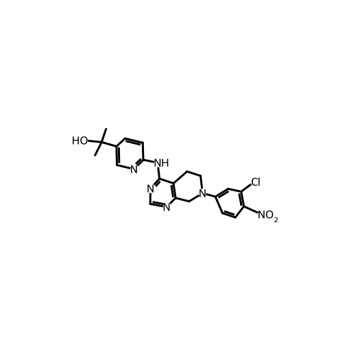 CC(C)(O)c1ccc(Nc2ncnc3c2CCN(c2ccc([N+](=O)[O-])c(Cl)c2)C3)nc1